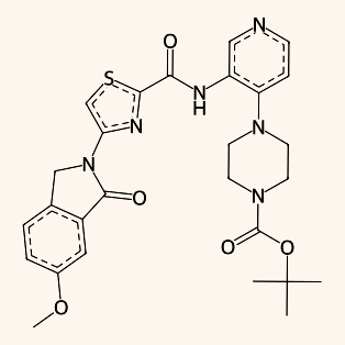 COc1ccc2c(c1)C(=O)N(c1csc(C(=O)Nc3cnccc3N3CCN(C(=O)OC(C)(C)C)CC3)n1)C2